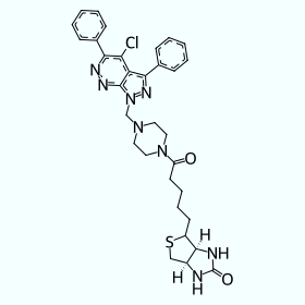 O=C1N[C@H]2CSC(CCCCC(=O)N3CCN(Cn4nc(-c5ccccc5)c5c(Cl)c(-c6ccccc6)nnc54)CC3)[C@H]2N1